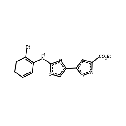 CCOC(=O)c1cc(-c2csc(NC3=C(CC)CCC=C3)n2)on1